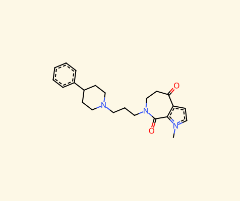 Cn1ccc2c1C(=O)N(CCCN1CCC(c3ccccc3)CC1)CCC2=O